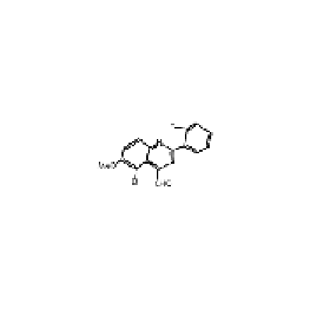 COc1ccc2nc(-c3ccccc3F)cc(C=O)c2c1O